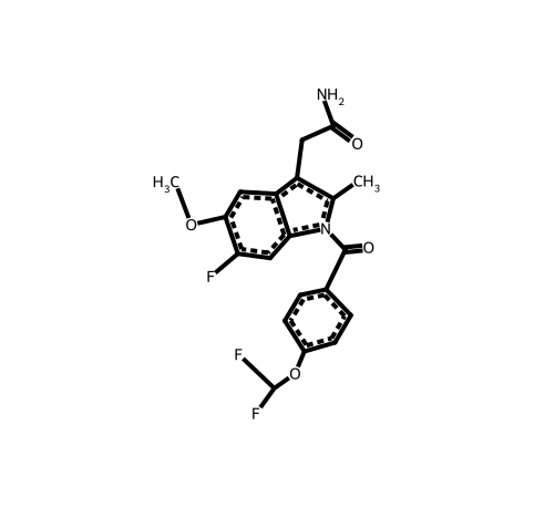 COc1cc2c(CC(N)=O)c(C)n(C(=O)c3ccc(OC(F)F)cc3)c2cc1F